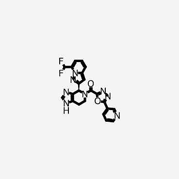 O=C(c1nnc(-c2cccnc2)o1)N1CCc2[nH]cnc2[C@H]1c1cc2cccc(C(F)F)n2n1